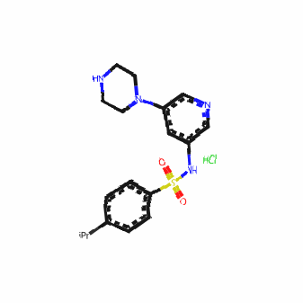 CC(C)c1ccc(S(=O)(=O)Nc2cncc(N3CCNCC3)c2)cc1.Cl